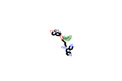 Cl.Cl.Cl.Cn1c(=O)ccc2cc(OCCCCNC(Cc3ccncc3)c3cccnc3)ccc21